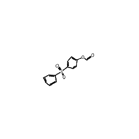 O=COc1ccc(S(=O)(=O)c2ccccc2)cc1